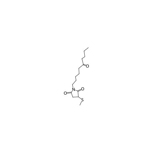 CCCCC(=O)CCCCCN1C(=O)CC(SC)C1=O